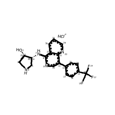 Cl.O[C@H]1CNC[C@H]1Nc1ncc(-c2ccc(C(F)(F)F)cc2)c2ncccc12